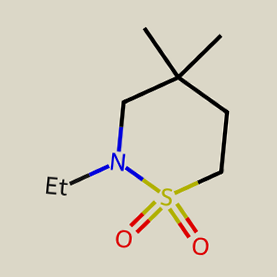 CCN1CC(C)(C)CCS1(=O)=O